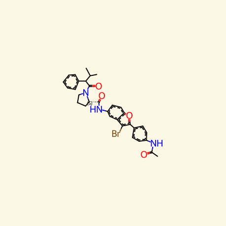 CC(=O)Nc1ccc(-c2oc3ccc(NC(=O)[C@@H]4CCCN4C(=O)C(c4ccccc4)C(C)C)cc3c2Br)cc1